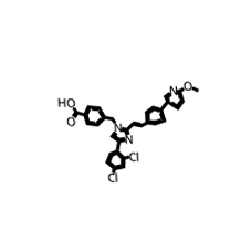 COc1ccc(-c2ccc(/C=C/c3nc(-c4ccc(Cl)cc4Cl)cn3Cc3ccc(C(=O)O)cc3)cc2)cn1